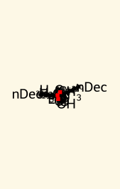 CCCCCCCCCCCCCCCCCC(=O)C(C(CC)(OP(=O)([O-])O)C(=O)CCCCCCCCCCCCCCCCC)[N+](C)(C)C